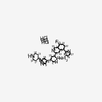 Cl.Cl.Cl.Nc1ncc(-c2cnn(C3CCNCC3)c2)cc1-c1cc2c(-c3nccs3)ccc(F)c2cn1